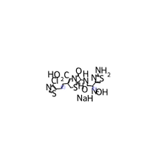 Nc1nc(/C(=N\O)C(=O)NC2C(=O)N3C(C(=O)O)=C(/C=C/c4scnc4Cl)CS[C@H]23)cs1.[NaH]